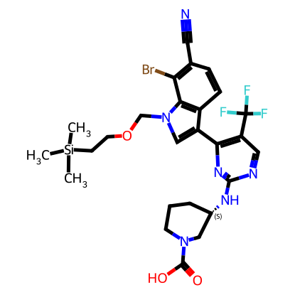 C[Si](C)(C)CCOCn1cc(-c2nc(N[C@H]3CCCN(C(=O)O)C3)ncc2C(F)(F)F)c2ccc(C#N)c(Br)c21